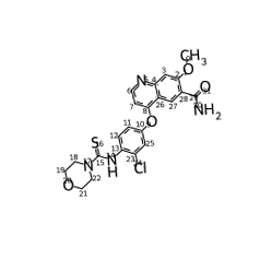 COc1cc2nccc(Oc3ccc(NC(=S)N4CCOCC4)c(Cl)c3)c2cc1C(N)=O